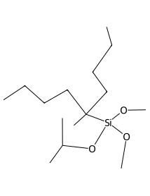 CCCCC(C)(CCCC)[Si](OC)(OC)OC(C)C